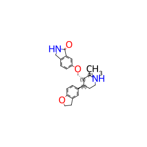 C[C@H]1NCC[C@@H](c2ccc3c(c2)CCO3)[C@@H]1COc1ccc2c(c1)C(=O)NC2